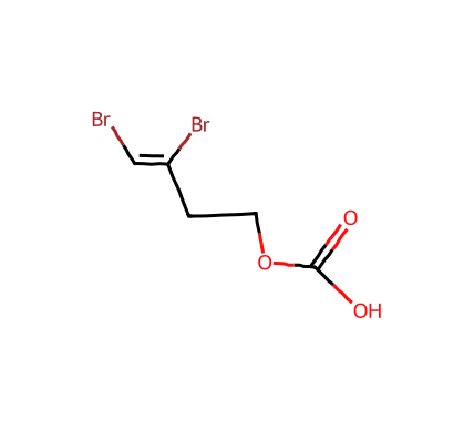 O=C(O)OCCC(Br)=CBr